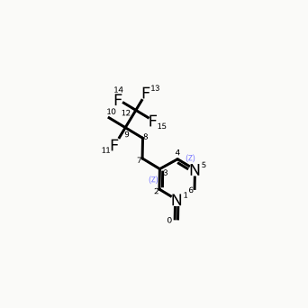 C=N/C=C(\C=N/C)CCC(C)(F)C(F)(F)F